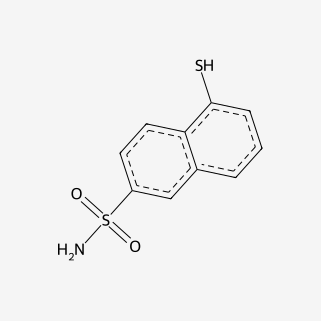 NS(=O)(=O)c1ccc2c(S)cccc2c1